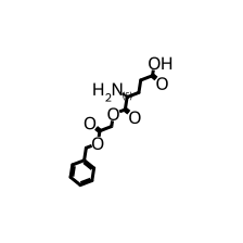 N[C@@H](CCC(=O)O)C(=O)OCC(=O)OCc1ccccc1